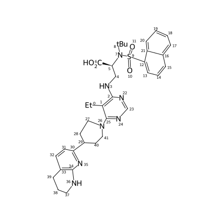 CCc1c(NC[C@@H](C(=O)O)N(C(C)(C)C)S(=O)(=O)c2cccc3ccccc23)ncnc1N1CCC(c2ccc3c(n2)NCCC3)CC1